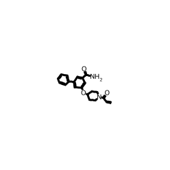 C=CC(=O)N1CCC(Oc2cc(C(N)=O)cc(-c3ccccc3)c2)CC1